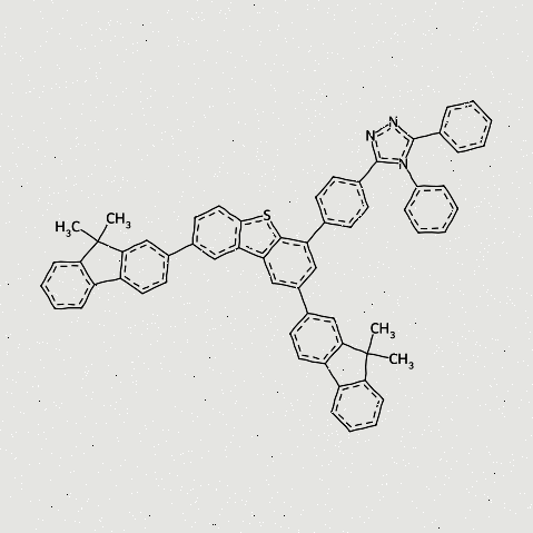 CC1(C)c2ccccc2-c2ccc(-c3ccc4sc5c(-c6ccc(-c7nnc(-c8ccccc8)n7-c7ccccc7)cc6)cc(-c6ccc7c(c6)C(C)(C)c6ccccc6-7)cc5c4c3)cc21